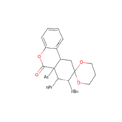 CCCCC1C(CCC)C2(C(C)=O)C(=O)Oc3ccccc3C2CC12OCCCO2